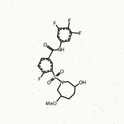 COC1CCC(O)CN(S(=O)(=O)c2cc(C(=O)Nc3cc(F)c(F)c(F)c3)ccc2F)C1